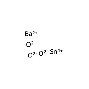 [Ba+2].[O-2].[O-2].[O-2].[Sn+4]